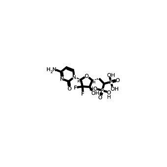 Nc1ccn([C@@H]2O[C@H](CC(P(=O)(O)O)P(=O)(O)O)C(O)C2(F)F)c(=O)n1